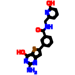 Nc1nc(O)c2sc(-c3cccc(C(=O)NCc4cccc(O)n4)c3)cc2n1